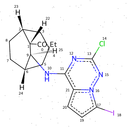 CCOC(=O)[C@H]1[C@H]2CCC[C@H](CC2)[C@@H]1Nc1nc(Cl)nn2c(I)ccc12